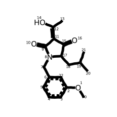 COc1cccc(CN2C(=O)C(=C(C)O)C(=O)C2CC(C)C)c1